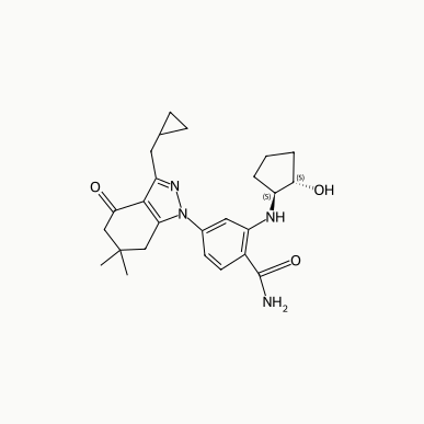 CC1(C)CC(=O)c2c(CC3CC3)nn(-c3ccc(C(N)=O)c(N[C@H]4CCC[C@@H]4O)c3)c2C1